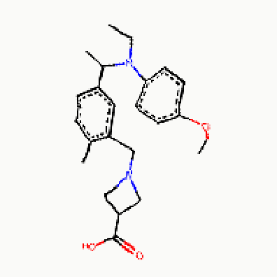 CCN(c1ccc(OC)cc1)C(C)c1ccc(C)c(CN2CC(C(=O)O)C2)c1